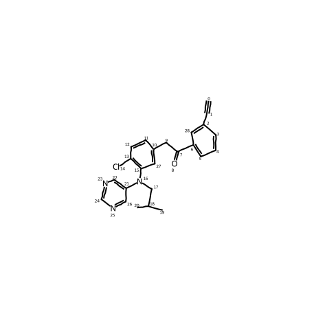 C#Cc1cccc(C(=O)Cc2ccc(Cl)c(N(CC(C)C)c3cncnc3)c2)c1